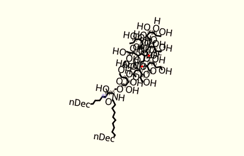 CCCCCCCCCCCCC/C=C/[C@@H](O)[C@H](CO[C@@H]1OC(CO)[C@@H](O[C@@H]2OC(CO)[C@H](O[C@@H]3OC(CO)[C@H](O)[C@H](O[C@@H]4OC(CO)[C@H](O)[C@H](O[C@H]5OC(CO)[C@H](O)[C@H](O)C5O)C4O[C@H]4OC(C)[C@@H](O)C(O)[C@@H]4O)C3NC(C)=O)[C@H](O[C@]3(C(=O)O)CC(O)[C@@H](NC(C)=O)C([C@H](O)[C@H](O)CO)O3)C2O)[C@H](O)C1O)NC(=O)CCCCCCCCCCCCCCCCCCC